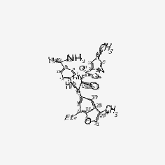 CCc1cc([C@@H](Nc2ccc(C(=N)N)cc2)C(=O)NS(=O)(=O)c2cn(C)cn2)cc2c(C)coc12